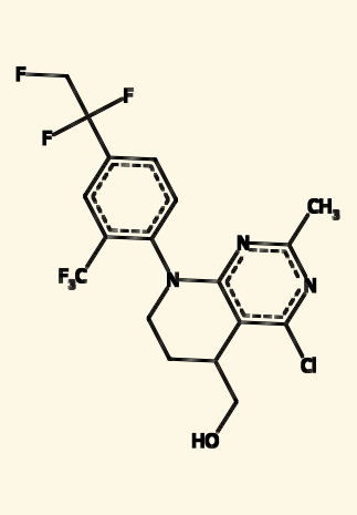 Cc1nc(Cl)c2c(n1)N(c1ccc(C(F)(F)CF)cc1C(F)(F)F)CCC2CO